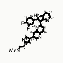 CNCCn1cc(-c2cnc3ccc(-c4c(-c5ccc(F)c(F)c5)[nH]c5cccnc45)nc3c2)cn1